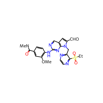 CCS(=O)(=O)c1nccnc1Cn1c(C=O)cc2cnc(Nc3ccc(C(=O)NC)cc3OC)nc21